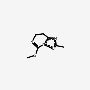 CSC1=NCCc2nc(C)nn21